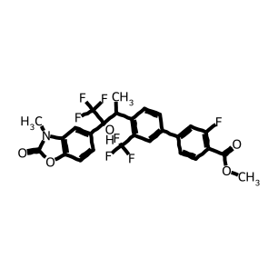 COC(=O)c1ccc(-c2ccc(C(C)C(O)(c3ccc4oc(=O)n(C)c4c3)C(F)(F)F)c(C(F)(F)F)c2)cc1F